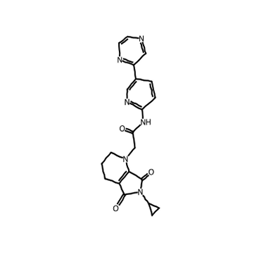 O=C(CN1CCCC2=C1C(=O)N(C1CC1)C2=O)Nc1ccc(-c2cnccn2)cn1